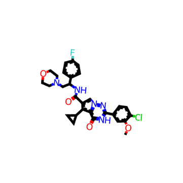 COc1cc(-c2nn3cc(C(=O)NC(CN4CCOCC4)c4ccc(F)cc4)c(C4CC4)c3c(=O)[nH]2)ccc1Cl